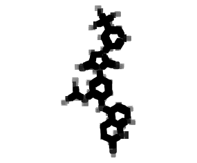 O=C1CCc2c(Oc3ccc(N4C(=O)CN(c5cncc(C(F)(F)F)c5)C4=O)cc3OC(F)F)ccnc2N1